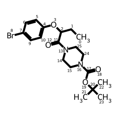 CCC(Oc1ccc(Br)cc1)C(=O)N1CCN(C(=O)OC(C)(C)C)CC1